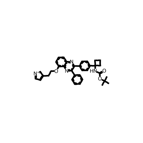 CC(C)(C)OC(=O)NC1(c2ccc(-c3nc4cccc(OCCC5=CC=[N+]=C5)c4nc3-c3ccccc3)cc2)CCC1